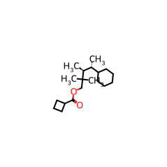 C[C@H](C1CCCCC1)[C@H](C)C(C)(C)COC(=O)C1CCC1